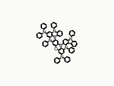 c1ccc(N(c2ccccc2)c2cc3c4c(c2)N(c2ccccc2)c2c(ccc5c2c2ccccc2n5-c2ccccc2)B4c2cc4c(cc2O3)N(c2ccccc2)c2cc(N(c3ccccc3)c3ccccc3)cc3c2B4c2ccccc2N3c2ccccc2)cc1